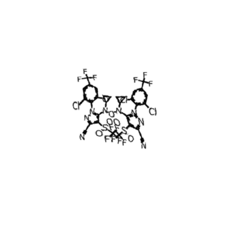 N#Cc1nn(-c2c(Cl)cc(C(F)(F)F)cc2Cl)c(N(ON(c2c(S(=O)(=O)C(F)(F)F)c(C#N)nn2-c2c(Cl)cc(C(F)(F)F)cc2Cl)C2CC2)C2CC2)c1S(=O)(=O)C(F)(F)F